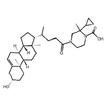 CC(CCC(=O)N1CCN(C(=O)O)C(C)(C2CC2)C1)[C@H]1CC[C@H]2[C@@H]3CC=C4C[C@@H](O)CC[C@]4(C)[C@H]3CC[C@]12C